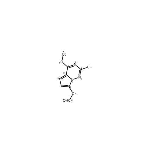 CCOc1nc(Cl)nn2c(OC=O)ccc12